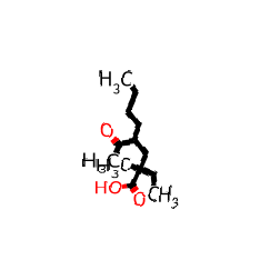 CCCCC(CC(C)(CC)C(=O)O)C(C)=O